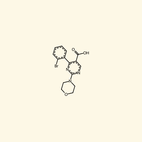 O=C(O)c1cnc(N2CCOCC2)nc1-c1ccccc1Br